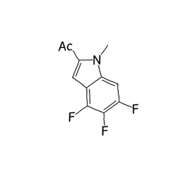 CC(=O)c1cc2c(F)c(F)c(F)cc2n1C